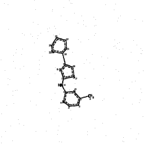 FC(F)(F)c1ccnc(Nc2nc(-c3ccccn3)cs2)n1